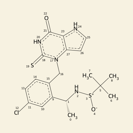 C[C@@H](N[S+]([O-])C(C)(C)C)c1cc(Cl)ccc1Cn1c(=S)[nH]c(=O)c2[nH]ccc21